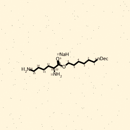 CCCCCCCCCCCCCCCCOC(=O)[C@@H](N)CCCCN.[NaH]